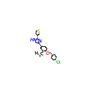 Cc1cc(-c2c[nH]c(-c3ccsc3)n2)ccc1OCc1ccc(Cl)cc1